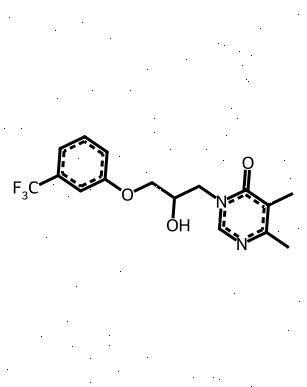 Cc1ncn(CC(O)COc2cccc(C(F)(F)F)c2)c(=O)c1C